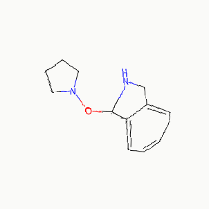 c1ccc2c(c1)CN[C]2ON1CCCC1